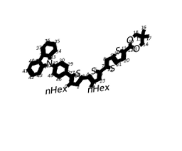 CCCCCCc1cc(-c2sc(-c3cc4sc(C5OCC(C)(C)CO5)cc4s3)cc2CCCCCC)sc1-c1ccc(-n2c3ccccc3c3ccccc32)cc1